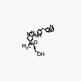 CN(C(=O)C#CCCO)c1ccc2ncnc(Nc3ccc(Cc4ccn5ccnc5c4)cc3)c2c1